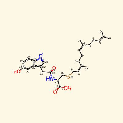 CC(C)=CCCC(C)=CCCC(C)=CCSC[C@H](NC(=O)Cc1c[nH]c2ccc(O)cc12)C(=O)O